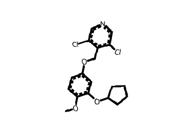 COc1ccc(OCc2c(Cl)cncc2Cl)cc1OC1CCCC1